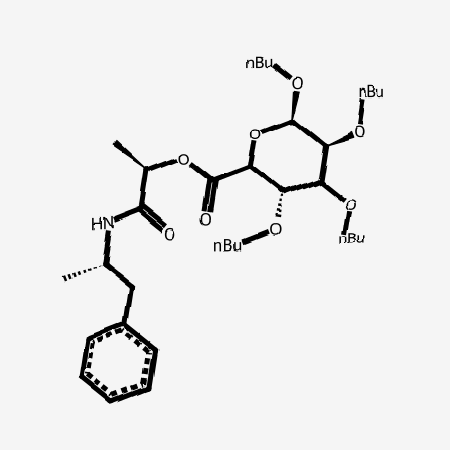 CCCCOC1[C@H](OCCCC)C(C(=O)O[C@H](C)C(=O)N[C@@H](C)Cc2ccccc2)O[C@@H](OCCCC)[C@H]1OCCCC